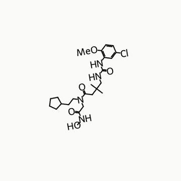 COc1ccc(Cl)cc1NC(=O)NCC(C)(C)CC(=O)N(CCC1CCCC1)CC(=O)NO